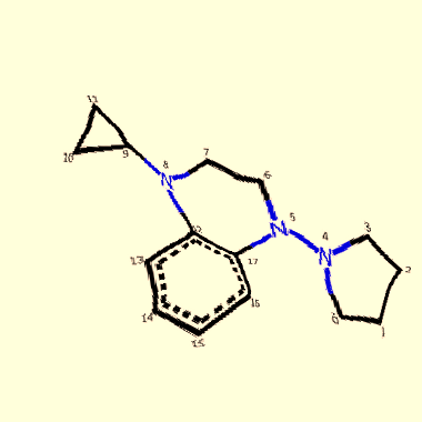 [CH]1CCCN1N1CCN(C2CC2)c2ccccc21